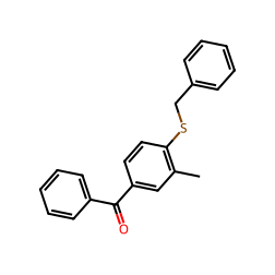 Cc1cc(C(=O)c2ccccc2)ccc1SCc1ccccc1